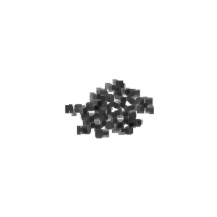 [2H]C([2H])([2H])Oc1cc([C@]2([2H])c3cc4c(cc3[C@@H](O[C@@H]3O[C@H]5[C@@H](O[C@H](C)OC5([2H])[2H])[C@H](O)[C@H]3O)[C@H]3COC(=O)[C@@H]32)OC([2H])([2H])O4)cc(OC([2H])([2H])[2H])c1O